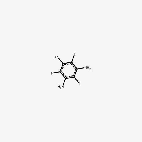 CC(=O)c1c(I)c(N)c(I)c(N)c1I